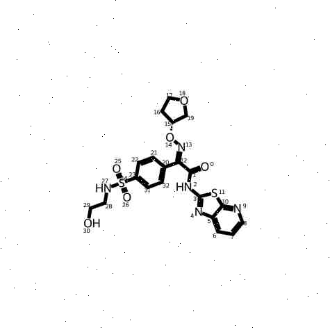 O=C(Nc1nc2cccnc2s1)/C(=N/O[C@@H]1CCOC1)c1ccc(S(=O)(=O)NCCO)cc1